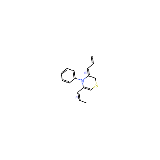 C=C/C=C1\CSC=C(/C=C\C)N1c1ccccc1